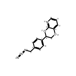 [N-]=[N+]=NCc1ccc(C2COc3cccnc3O2)cc1